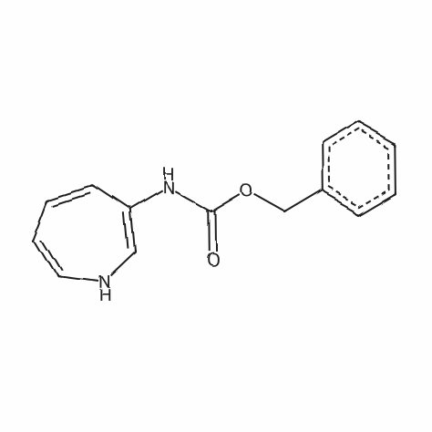 O=C(NC1=CNC=CC=C1)OCc1ccccc1